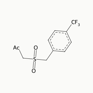 CC(=O)CS(=O)(=O)Cc1ccc(C(F)(F)F)cc1